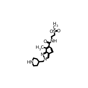 Cc1c(C(=O)NCCS(C)(=O)=O)ccc2cn(CC3CCNCC3)nc12